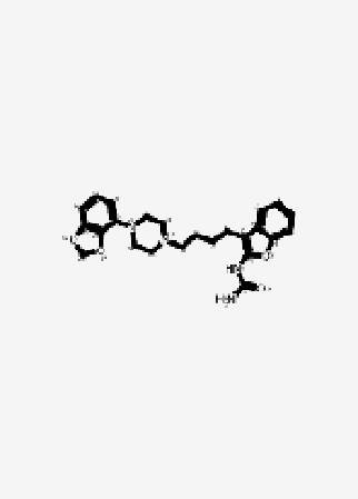 NC(=O)Nc1oc2ccccc2c1CCCCN1CCN(c2cccc3c2OCO3)CC1